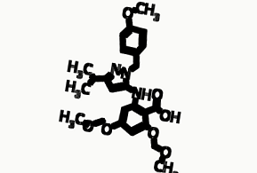 COCOc1cc(Nc2cc(C(C)C)nn2Cc2ccc(OC)cc2)c(C(=O)O)c(OCOC)c1